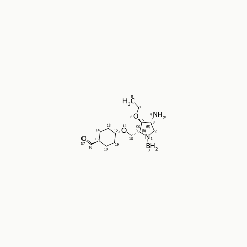 BN1C[C@@H](N)[C@H](OCC)[C@H]1CO[C@H]1CC[C@H](C=O)CC1